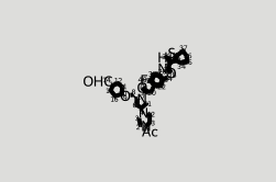 CC(=O)N1CCN([C@H]2C[C@@H](CO[C@H]3CC[C@H](C=O)CC3)N(C(=O)Cc3cc(C)c(NC(=O)c4csc5c4C=CCC5)cc3F)C2)CC1